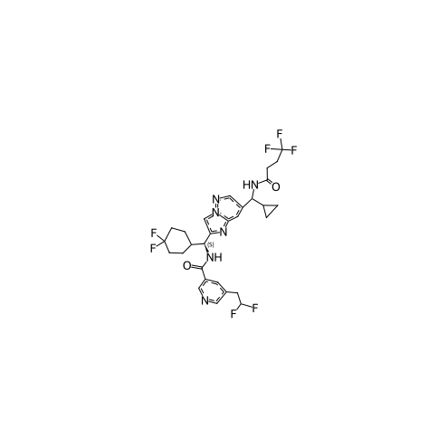 O=C(CCC(F)(F)F)NC(c1cnn2cc([C@@H](NC(=O)c3cncc(CC(F)F)c3)C3CCC(F)(F)CC3)nc2c1)C1CC1